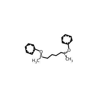 CP(CCCCP(C)Oc1ccccc1)Oc1ccccc1